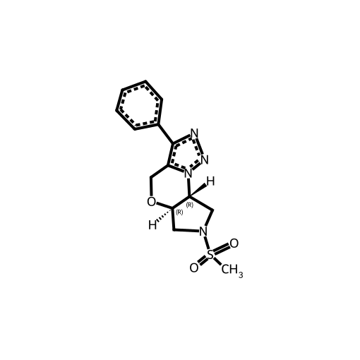 CS(=O)(=O)N1C[C@@H]2[C@@H](C1)OCc1c(-c3ccccc3)nnn12